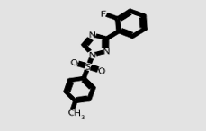 Cc1ccc(S(=O)(=O)n2cnc(-c3ccccc3F)n2)cc1